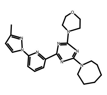 Cc1ccn(-c2cccc(-c3nc(N4CCCCCC4)nc(N4CCOCC4)n3)n2)n1